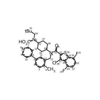 Cc1ccc(-c2ccncc2)cc1CN(C(=O)c1sc2c(F)ccc(F)c2c1Cl)C1CCC(N(CC(C)(C)C)C(=O)O)CC1